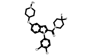 CC(C)N1CCC(Oc2ccc3c(c2)cc(C(=O)N2CCC(F)(F)CC2)n3-c2ccc(Cl)c(Cl)c2)CC1